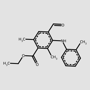 CCOC(=O)c1c(C)cc(C=O)c(Nc2ccccc2C)c1C